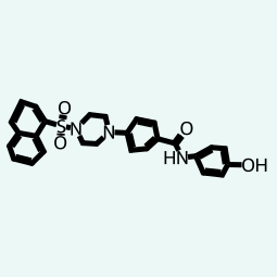 O=C(Nc1ccc(O)cc1)c1ccc(N2CCN(S(=O)(=O)c3cccc4ccccc34)CC2)cc1